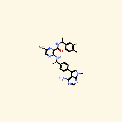 Cc1ccc([C@H](C)NC(=O)c2nc(C#N)cnc2N[C@H](C)c2ccc(-c3cn(C)c4ncnc(N)c34)cc2)cc1F